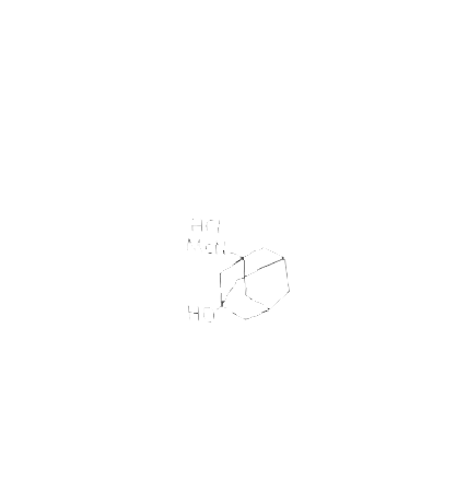 CNC12CC3CC(CC(O)(C3)C1)C2.Cl